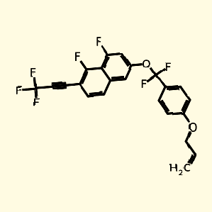 C=CCOc1ccc(C(F)(F)Oc2cc(F)c3c(F)c(C#CC(F)(F)F)ccc3c2)cc1